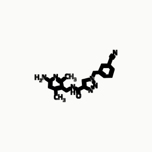 Cc1cc(N)nc(C)c1CNC(=O)c1cn(Cc2cccc(C#N)c2)nn1